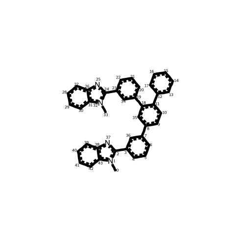 Cn1c(-c2cccc(-c3ccc(-c4ccccc4)c(-c4cccc(-c5nc6ccccc6n5C)c4)c3)c2)nc2ccccc21